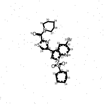 O=C(c1nc(-c2cn(S(=O)(=O)c3ccccc3)c3ncc(Br)cc23)cs1)N1CCCCC1